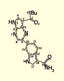 CC(C)(C)C(=O)c1c[nH]c2ncc(-c3c[c]c4c(c3)=NCC=4C(N)=O)nc12